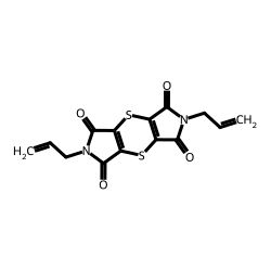 C=CCn1c(=O)c2sc3c(=O)n(CC=C)c(=O)c3sc2c1=O